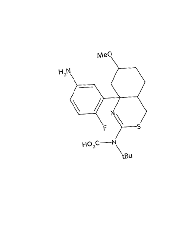 COC1CCC2CSC(N(C(=O)O)C(C)(C)C)=NC2(c2cc(N)ccc2F)C1